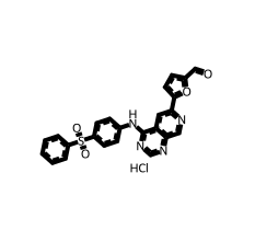 Cl.O=Cc1ccc(-c2cc3c(Nc4ccc(S(=O)(=O)c5ccccc5)cc4)ncnc3cn2)o1